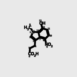 Cn1cc(CCC(=O)O)c2c([N+](=O)[O-])ccc(O)c21